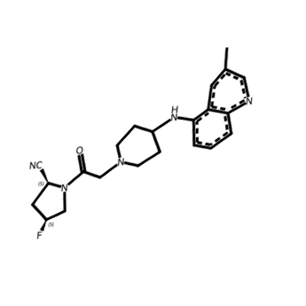 Cc1cnc2cccc(NC3CCN(CC(=O)N4C[C@@H](F)C[C@H]4C#N)CC3)c2c1